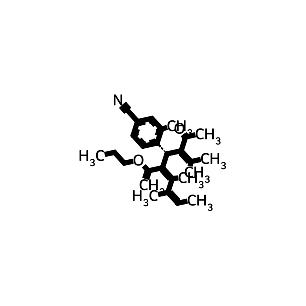 C=C(OCCC)/C(=C(C)\C(C)=C/C)[C@@H](C(C(C)=O)=C(C)C)c1ccc(C#N)cc1C